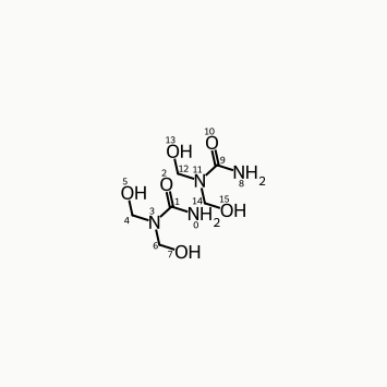 NC(=O)N(CO)CO.NC(=O)N(CO)CO